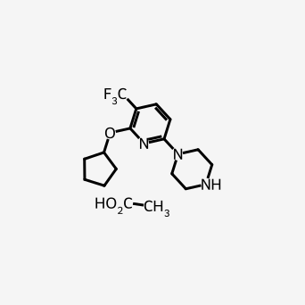 CC(=O)O.FC(F)(F)c1ccc(N2CCNCC2)nc1OC1CCCC1